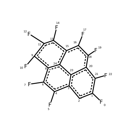 Fc1[c]c2c(F)c(F)c3c(F)c(F)c(F)c4c(F)c(F)c(c1F)c2c34